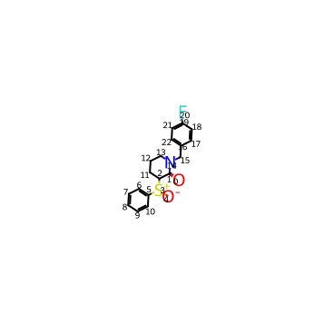 O=C1C([S+]([O-])c2ccccc2)CCCN1Cc1ccc(F)cc1